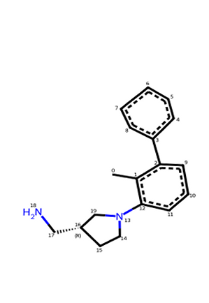 Cc1c(-c2ccccc2)cccc1N1CC[C@H](CN)C1